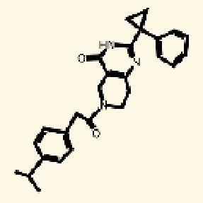 CC(C)c1ccc(CC(=O)N2CCc3nc(C4(c5ccccc5)CC4)[nH]c(=O)c3C2)cc1